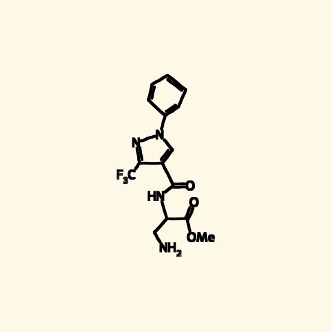 COC(=O)C(CN)NC(=O)c1cn(-c2ccccc2)nc1C(F)(F)F